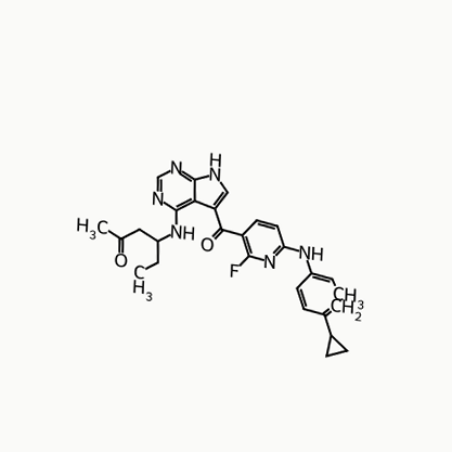 C=C(/C=C\C(=C/C)Nc1ccc(C(=O)c2c[nH]c3ncnc(NC(CC)CC(C)=O)c23)c(F)n1)C1CC1